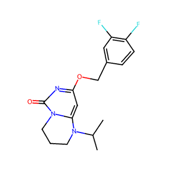 CC(C)N1CCCn2c1cc(OCc1ccc(F)c(F)c1)nc2=O